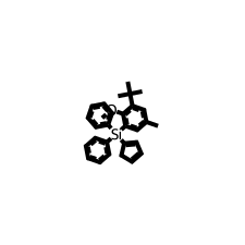 COc1c(C(C)(C)C)cc(C)cc1[Si](C1=CC=CC1)(c1ccccc1)c1ccccc1